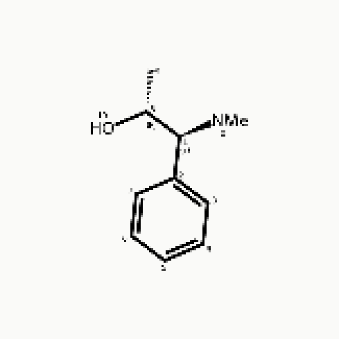 CN[C@@H](c1ccccc1)[C@@H](C)O